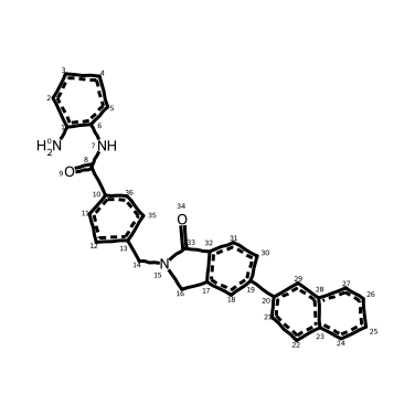 Nc1ccccc1NC(=O)c1ccc(CN2Cc3cc(-c4ccc5ccccc5c4)ccc3C2=O)cc1